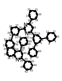 c1ccc(-c2cc(-c3ccccc3)cc(-c3cc(-c4ccccc4)nc(-c4cccc(-c5ccc6ccc7nc(-c8ccccc8)cc(-c8ccccc8)c7c6c5)c4)n3)c2)cc1